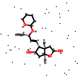 CCCCCCC[C@@H](/C=C/[C@@H]1[C@H]2CC(O)O[C@H]2C[C@H]1O)OC1CCCCO1